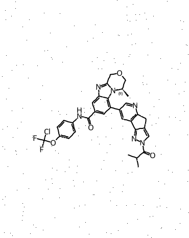 CC(C)C(=O)n1cc2c(n1)-c1cc(-c3cc(C(=O)Nc4ccc(OC(F)(F)Cl)cc4)cc4nc5n(c34)[C@H](C)COC5)cnc1C2